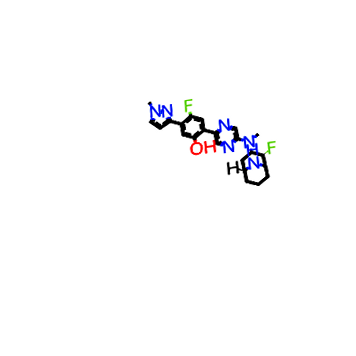 CN(c1cnc(-c2cc(F)c(-c3ccn(C)n3)cc2O)cn1)[C@H]1C[C@@H]2CCCC(N2)[C@H]1F